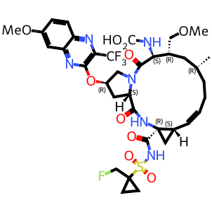 COC[C@@H]1C[C@H](C)CCC=C[C@@H]2C[C@@]2(C(=O)NS(=O)(=O)C2(CF)CC2)NC(=O)[C@@H]2C[C@@H](Oc3nc4cc(OC)ccc4nc3C(F)(F)F)CN2C(=O)[C@H]1NC(=O)O